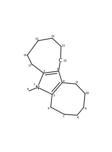 Cn1c2c(c3c1CCCCCC3)CCCCCC2